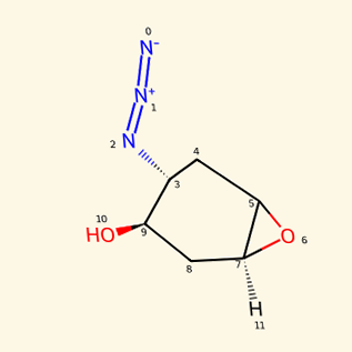 [N-]=[N+]=N[C@@H]1CC2O[C@H]2C[C@H]1O